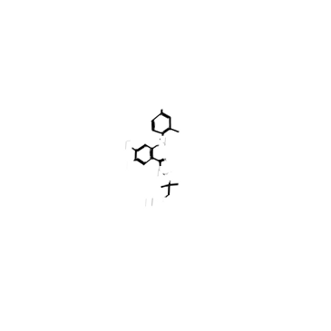 Cc1cc(I)ccc1Nc1cc(F)c(F)cc1C(=O)NOC(C)(C)CO